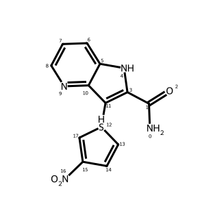 NC(=O)c1[nH]c2cccnc2c1[SH]1C=CC([N+](=O)[O-])=C1